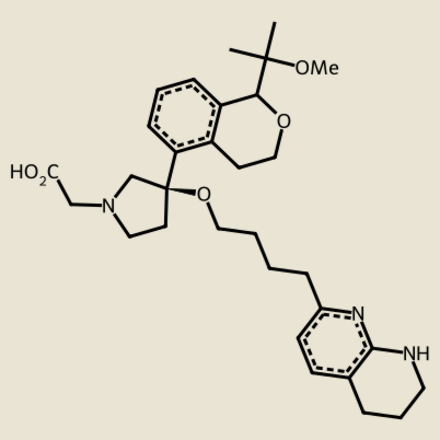 COC(C)(C)C1OCCc2c1cccc2[C@]1(OCCCCc2ccc3c(n2)NCCC3)CCN(CC(=O)O)C1